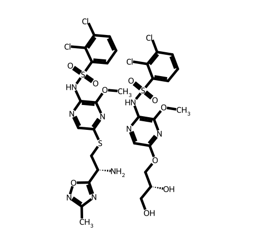 COc1nc(OC[C@H](O)CO)cnc1NS(=O)(=O)c1cccc(Cl)c1Cl.COc1nc(SC[C@H](N)c2nc(C)no2)cnc1NS(=O)(=O)c1cccc(Cl)c1Cl